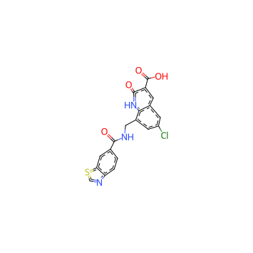 O=C(NCc1cc(Cl)cc2cc(C(=O)O)c(=O)[nH]c12)c1ccc2ncsc2c1